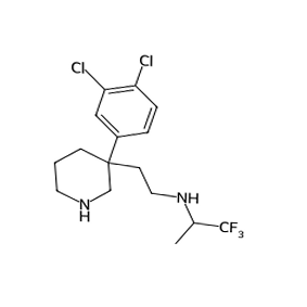 CC(NCCC1(c2ccc(Cl)c(Cl)c2)CCCNC1)C(F)(F)F